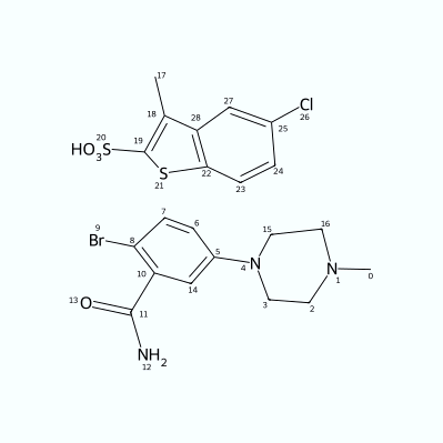 CN1CCN(c2ccc(Br)c(C(N)=O)c2)CC1.Cc1c(S(=O)(=O)O)sc2ccc(Cl)cc12